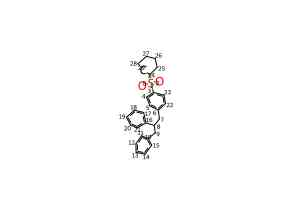 O=S(=O)(c1ccc(CC(Cc2ccccc2)c2ccccc2)cc1)C1CCCCC1